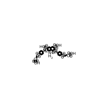 Nc1c(N=Nc2ccc(S(=O)(=O)CCOS(=O)(=O)O)cc2)c(S(=O)(=O)O)cc2c1C(=O)C(=NNc1ccc(S(=O)(=O)CCOS(=O)(=O)O)cc1)C(S(=O)(=O)O)=C2